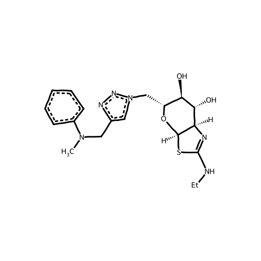 CCNC1=N[C@@H]2[C@@H](O)[C@H](O)[C@@H](Cn3cc(CN(C)c4ccccc4)nn3)O[C@@H]2S1